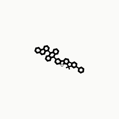 CC1(C)c2cc(-c3ccccc3)ccc2-c2ccc3c(oc4ccc(-c5c6ccccc6c(-c6cccc7c6ccc6ccccc67)c6ccccc56)cc43)c21